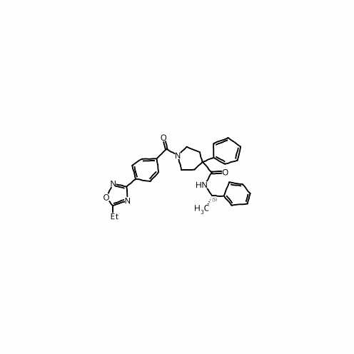 CCc1nc(-c2ccc(C(=O)N3CCC(C(=O)N[C@@H](C)c4ccccc4)(c4ccccc4)CC3)cc2)no1